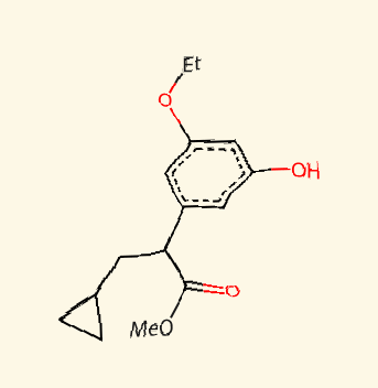 CCOc1cc(O)cc(C(CC2CC2)C(=O)OC)c1